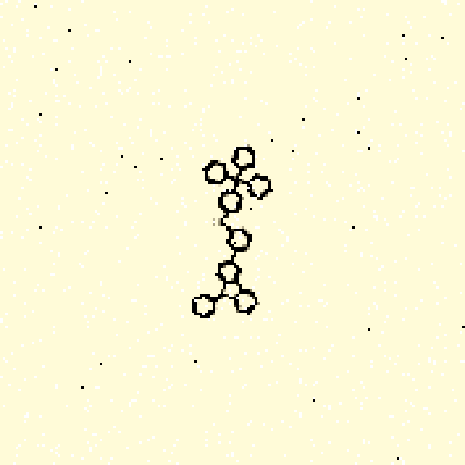 c1ccc(-n2c3ccccc3c3cc(-c4cccc(Nc5ccc(C(c6ccccc6)(c6ccccc6)c6ccccc6)cc5)c4)ccc32)cc1